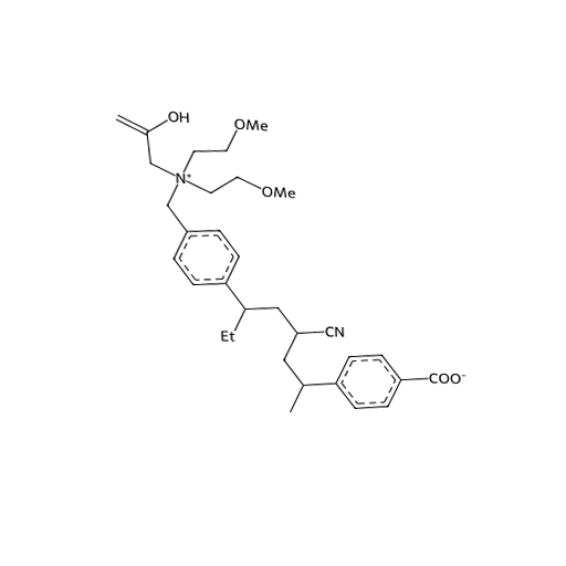 C=C(O)C[N+](CCOC)(CCOC)Cc1ccc(C(CC)CC(C#N)CC(C)c2ccc(C(=O)[O-])cc2)cc1